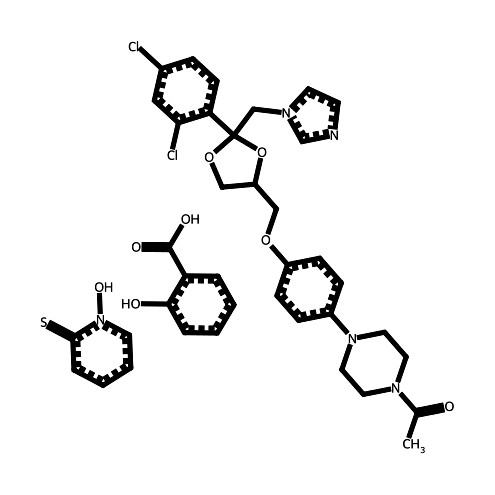 CC(=O)N1CCN(c2ccc(OCC3COC(Cn4ccnc4)(c4ccc(Cl)cc4Cl)O3)cc2)CC1.O=C(O)c1ccccc1O.On1ccccc1=S